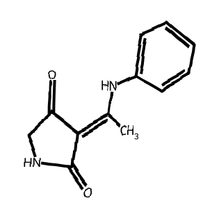 CC(Nc1ccccc1)=C1C(=O)CNC1=O